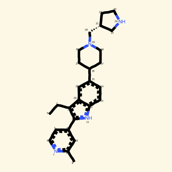 CCc1c(-c2ccnc(C)c2)[nH]c2ccc(C3CCN(C[C@@H]4CCNC4)CC3)cc12